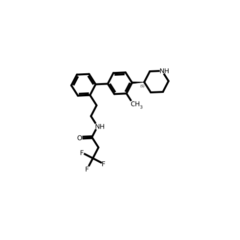 Cc1cc(-c2ccccc2CCNC(=O)CC(F)(F)F)ccc1[C@@H]1CCCNC1